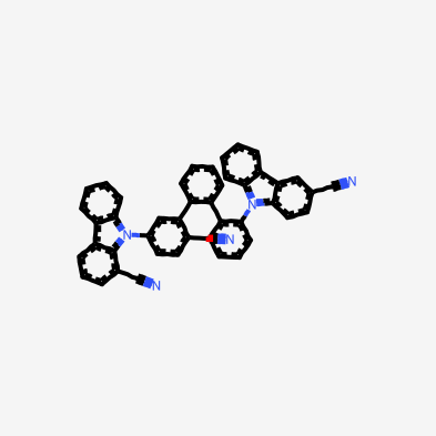 N#Cc1ccc2c(c1)c1ccccc1n2-c1ccccc1-c1ccccc1-c1cc(-n2c3ccccc3c3cccc(C#N)c32)ccc1C#N